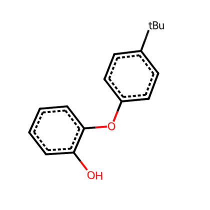 CC(C)(C)c1ccc(Oc2ccccc2O)cc1